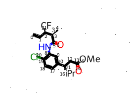 C=C[C@H]([C@@H](C)C(=O)Nc1cc(C(CC(=O)OC)C(C)C)ccc1Cl)C(F)(F)F